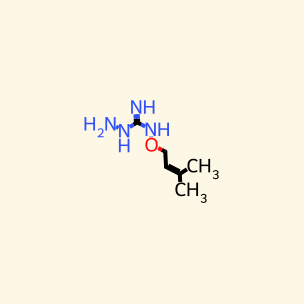 CC(C)=CCONC(=N)NN